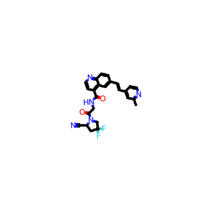 Cc1cc(C=Cc2ccc3nccc(C(=O)NCC(=O)N4CC(F)(F)CC4C#N)c3c2)ccn1